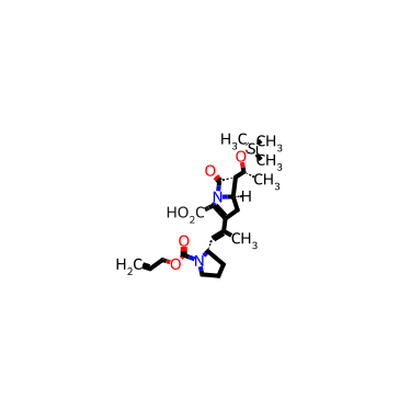 C=CCOC(=O)N1CCC[C@H]1/C=C(\C)C1=C(C(=O)O)N2C(=O)[C@H]([C@@H](C)O[Si](C)(C)C)[C@H]2C1